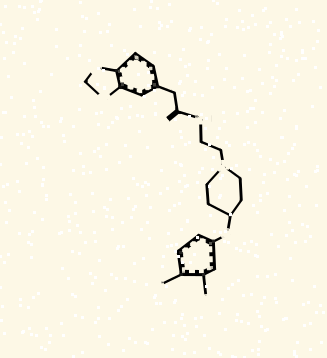 O=C(Cc1ccc2c(c1)OCO2)NCCN1CCC(Oc2ccc(Cl)c(Cl)c2)CC1